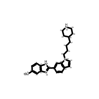 CC(C)(C)c1ccc2[nH]c(-c3ccc4ccn(CCCCC5CCNCC5)c4c3)nc2c1